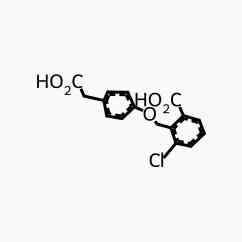 O=C(O)Cc1ccc(OCc2c(Cl)cccc2C(=O)O)cc1